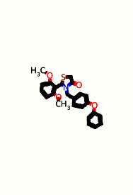 COc1cccc(OC)c1C1SCC(=O)N1Cc1ccc(Oc2ccccc2)cc1